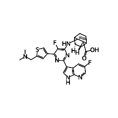 CN(C)Cc1cc(-c2nc(-c3c[nH]c4ncc(F)cc34)nc(N[C@H]3C4CCC(CC4)[C@@H]3C(=O)O)c2F)cs1